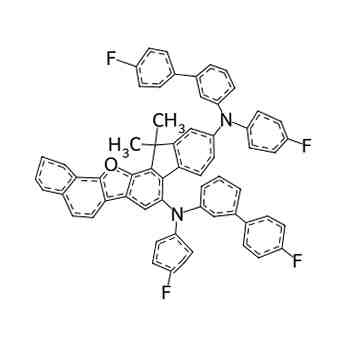 CC1(C)c2cc(N(c3ccc(F)cc3)c3cccc(-c4ccc(F)cc4)c3)ccc2-c2c(N(c3ccc(F)cc3)c3cccc(-c4ccc(F)cc4)c3)cc3c(oc4c5ccccc5ccc34)c21